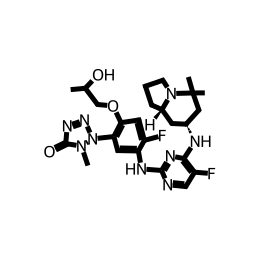 CC(O)COc1cc(F)c(Nc2ncc(F)c(N[C@@H]3C[C@@H]4CCCN4C(C)(C)C3)n2)cc1-n1nnc(=O)n1C